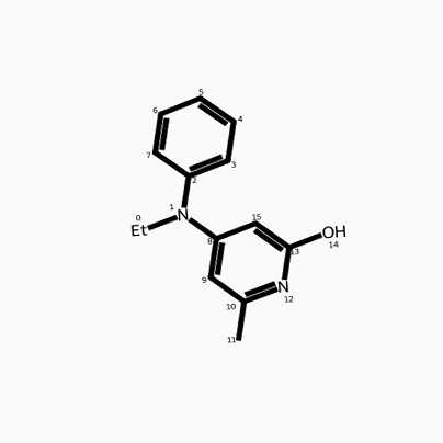 CCN(c1ccccc1)c1cc(C)nc(O)c1